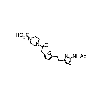 CC(=O)Nc1nc(CCc2ccc(CC(=O)N3CCN(C(=O)O)CC3)s2)cs1